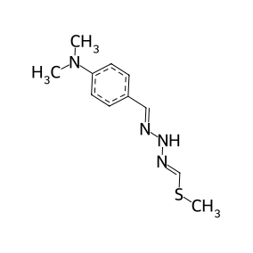 CSC=NNN=Cc1ccc(N(C)C)cc1